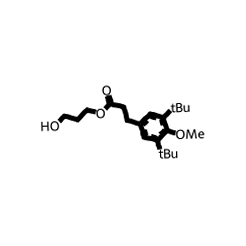 COc1c(C(C)(C)C)cc(CCC(=O)OCCCO)cc1C(C)(C)C